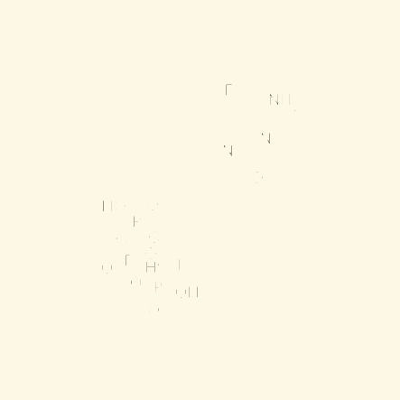 Nc1nc(=O)n(C2CC(COP(=O)(O)OP(=O)(O)OP(=O)(O)O)C2)cc1F